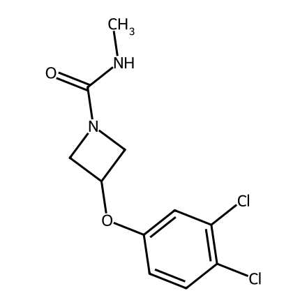 CNC(=O)N1CC(Oc2ccc(Cl)c(Cl)c2)C1